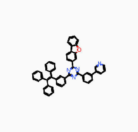 c1ccc(C(=C(c2ccccc2)c2cccc(-c3nc(-c4cccc(-c5cccnc5)c4)nc(-c4ccc5c(c4)oc4ccccc45)n3)c2)c2ccccc2)cc1